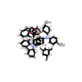 Cc1cc(C)c(B2c3cc(C(C)(C)C)ccc3N3c4ccc(C(C)(C)C)cc4B(c4c(C)cc(C)cc4C)c4cc(-n5c6ccccc6c6cccc([Si](C7=CCCC=C7)(c7ccccc7)c7ccccc7)c65)cc2c43)c(C)c1